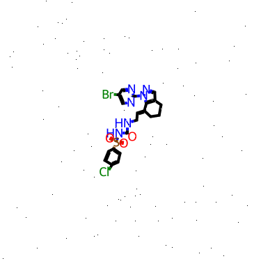 O=C(NCC=C1CCCc2cnn(-c3ncc(Br)cn3)c21)NS(=O)(=O)c1ccc(Cl)cc1